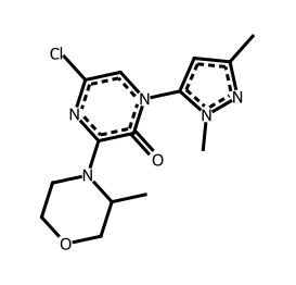 Cc1cc(-n2cc(Cl)nc(N3CCOCC3C)c2=O)n(C)n1